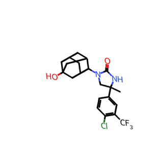 CC1(c2ccc(Cl)c(C(F)(F)F)c2)CN(C2C3CC4CC2CC(O)(C4)C3)C(=O)N1